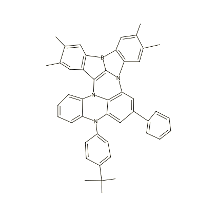 Cc1cc2c(cc1C)C1=C3B2c2cc(C)c(C)cc2N3c2cc(-c3ccccc3)cc3c2N1c1ccccc1N3c1ccc(C(C)(C)C)cc1